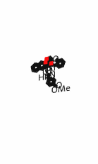 COC(=O)c1ccc2[nH]c(P(=O)(OC3c4ccccc4Oc4ccccc43)c3cccc4cc5ccccc5cc34)nc2c1